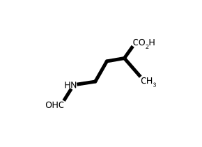 CC(CCNC=O)C(=O)O